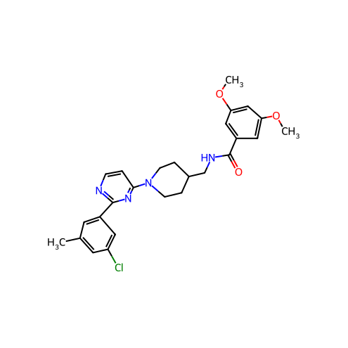 COc1cc(OC)cc(C(=O)NCC2CCN(c3ccnc(-c4cc(C)cc(Cl)c4)n3)CC2)c1